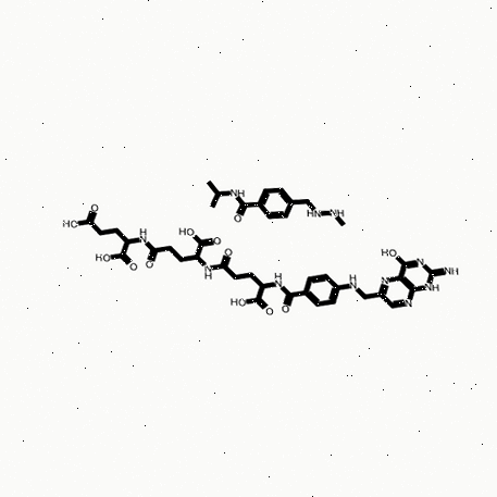 CNNCc1ccc(C(=O)NC(C)C)cc1.N=c1nc(O)c2nc(CNc3ccc(C(=O)NC(CCC(=O)NC(CCC(=O)NC(CCC(=O)O)C(=O)O)C(=O)O)C(=O)O)cc3)cnc2[nH]1